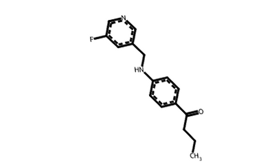 CCCC(=O)c1ccc(NCc2cncc(F)c2)cc1